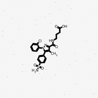 Cc1c(C(=O)NCCCC(=O)O)nn(-c2ccccc2Cl)c1-c1ccc(S(N)(=O)=O)cc1